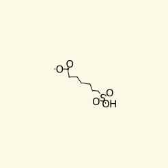 [O]C(=O)CCCCCCS(=O)(=O)O